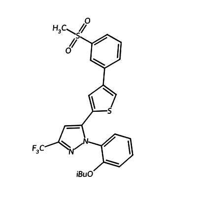 CC(C)COc1ccccc1-n1nc(C(F)(F)F)cc1-c1cc(-c2cccc(S(C)(=O)=O)c2)cs1